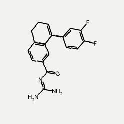 NC(N)=NC(=O)c1ccc2c(c1)C(c1ccc(F)c(F)c1)=CCC2